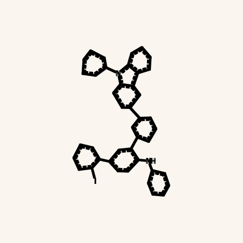 Ic1ccccc1-c1ccc(Nc2ccccc2)c(-c2cccc(-c3ccc4c(c3)c3ccccc3n4-c3ccccc3)c2)c1